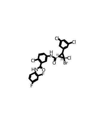 O=C(Nc1ccc(F)cc1F)c1cc(NC(=O)[C@@H]2C(c3cc(Cl)cc(Cl)c3)[C@]2(Cl)Br)ccc1Cl